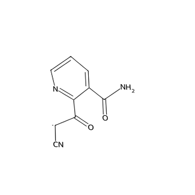 N#C[CH]C(=O)c1ncccc1C(N)=O